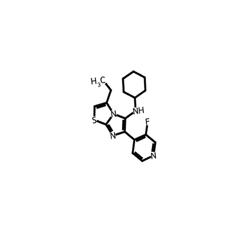 CCc1csc2nc(-c3ccncc3F)c(NC3CCCCC3)n12